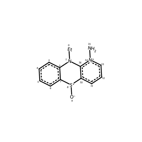 CCN1c2ccccc2[S+]([O-])c2ccc[n+](N)c21